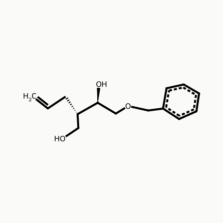 C=CC[C@@H](CO)[C@@H](O)COCc1ccccc1